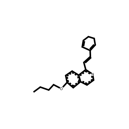 CCCCOc1ccc2c(C=CC3=CCCC=C3)nccc2c1